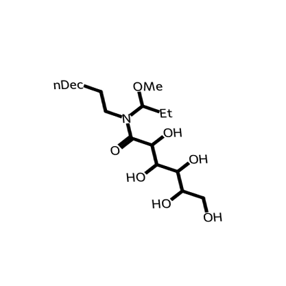 CCCCCCCCCCCCN(C(=O)C(O)C(O)C(O)C(O)CO)C(CC)OC